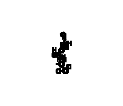 Cc1cc(-c2c(Cl)cccc2Cl)cc2nnc(Nc3ccc(S(=O)(=O)NCCN4CCCC4)cc3)nc12.Cl